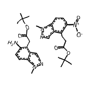 Cn1ncc2c(CC(=O)OC(C)(C)C)c(N)ccc21.Cn1ncc2c(CC(=O)OC(C)(C)C)c([N+](=O)[O-])ccc21